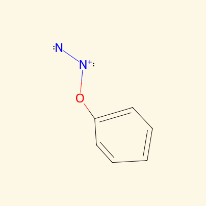 [N][N+]Oc1ccccc1